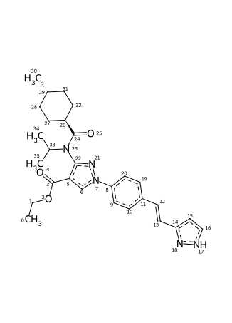 CCOC(=O)c1cn(-c2ccc(/C=C/c3cc[nH]n3)cc2)nc1N(C(=O)[C@H]1CC[C@H](C)CC1)C(C)C